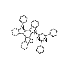 c1ccc(-c2cc(-n3c4ccccc4c4c3c3oc5ccccc5c3c3c5ccccc5n(-c5ccccc5)c34)nc(-c3ccccc3)n2)cc1